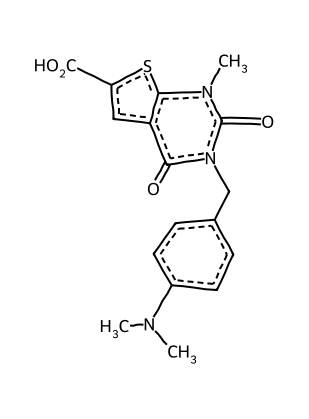 CN(C)c1ccc(Cn2c(=O)c3cc(C(=O)O)sc3n(C)c2=O)cc1